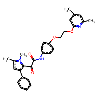 Cc1cc(C)nc(OCCOc2ccc(NC(=O)C(=O)c3c(-c4ccccc4)cc(C)n3C)cc2)c1